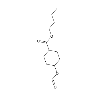 CCCCOC(=O)C1CCC(OC=O)CC1